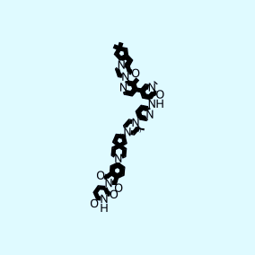 Cc1c(-c2cc(Nc3ccc(N4CCN([C@H]5CCC6(CCN(c7ccc8c(c7)C(=O)N(C7CCC(=O)NC7=O)C8=O)CC6)C5)C[C@@H]4C)cn3)c(=O)n(C)c2)ccnc1N1CCn2c(cc3c2CC(C)(C)C3)C1=O